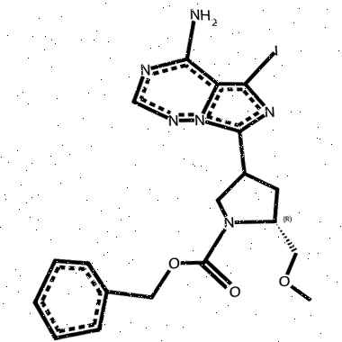 COC[C@H]1CC(c2nc(I)c3c(N)ncnn23)CN1C(=O)OCc1ccccc1